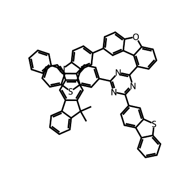 CC1(C)c2ccccc2-c2cc3c(cc21)c1cc(-c2ccc4oc5cccc(-c6nc(-c7ccc8c(c7)sc7ccccc78)nc(-c7ccc8c(c7)sc7ccccc78)n6)c5c4c2)ccc1n3-c1ccccc1